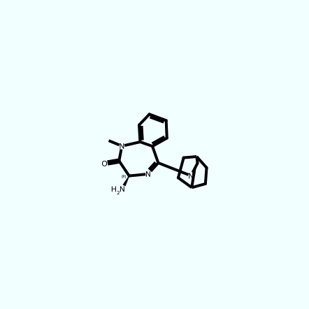 CN1C(=O)[C@H](N)N=C(N2CC3CCC(CC3)C2)c2ccccc21